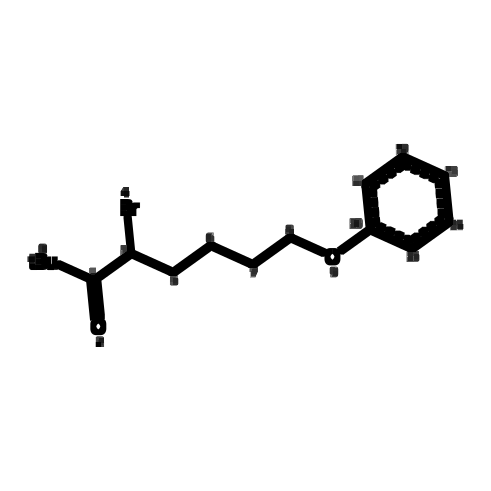 CC(C)(C)C(=O)C(Br)CCCCOc1ccccc1